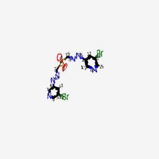 O=S(=O)(CN=Nc1cncc(Br)c1)CN=Nc1cncc(Br)c1